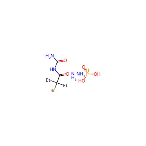 CCC(Br)(CC)C(=O)NC(N)=O.N.N.O=[PH](O)O